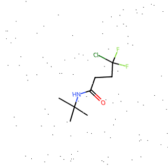 CC(C)(C)NC(=O)CCC(F)(F)Cl